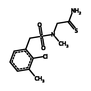 Cc1cccc(CS(=O)(=O)N(C)CC(N)=S)c1Cl